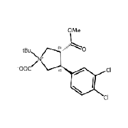 COC(=O)[C@H]1C[N+](C(=O)[O-])(C(C)(C)C)C[C@@H]1c1ccc(Cl)c(Cl)c1